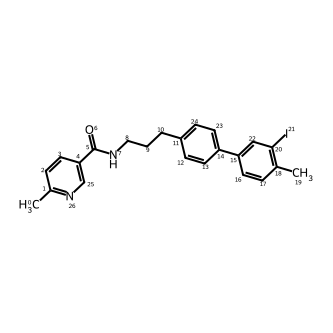 Cc1ccc(C(=O)NCCCc2ccc(-c3ccc(C)c(I)c3)cc2)cn1